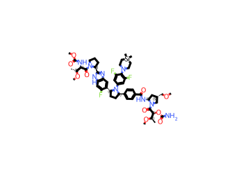 COC[C@H]1C[C@@H](NC(=O)c2ccc([C@H]3CC[C@H](c4cc5nc([C@@H]6CCCN6C(=O)[C@@H](NC(=O)OC)[C@@H](C)OC)[nH]c5cc4F)N3c3cc(F)c(N4CC[Si](C)(C)CC4)c(F)c3)cc2)N(C(=O)[C@@H](OC(N)=O)[C@@H](C)OC)C1